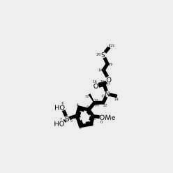 COc1ccc(B(O)O)cc1[C@@H](C)CN(C)C(=O)OCCSI